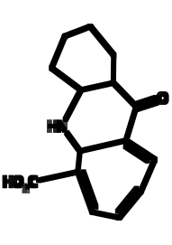 O=C(O)C1=CC=CC=C2C(=O)C3CCCCC3NC12